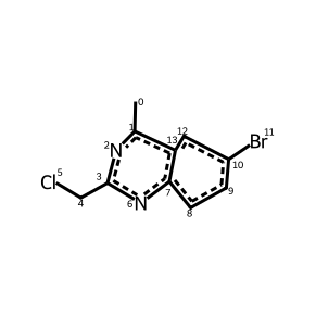 Cc1nc(CCl)nc2ccc(Br)cc12